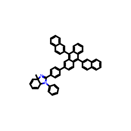 CC12C=CC=CC1N(c1ccccc1)C(c1ccc(-c3ccc4c(-c5ccc6ccccc6c5)c5ccccc5c(-c5ccc6ccccc6c5)c4c3)cc1)=N2